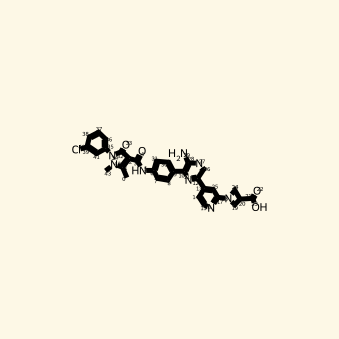 Cc1c(C(=O)Nc2ccc(-c3nc(-c4ccnc(N5CC(C(=O)O)C5)c4)cnc3N)cc2)c(=O)n(-c2cccc(Cl)c2)n1C